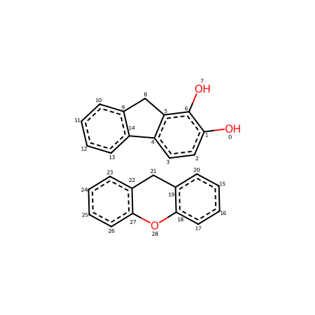 Oc1ccc2c(c1O)Cc1ccccc1-2.c1ccc2c(c1)Cc1ccccc1O2